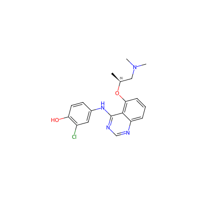 C[C@@H](CN(C)C)Oc1cccc2ncnc(Nc3ccc(O)c(Cl)c3)c12